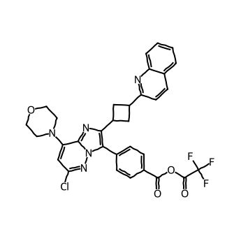 O=C(OC(=O)C(F)(F)F)c1ccc(-c2c(C3CC(c4ccc5ccccc5n4)C3)nc3c(N4CCOCC4)cc(Cl)nn23)cc1